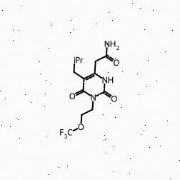 CC(C)Cc1c(CC(N)=O)[nH]c(=O)n(CCOC(F)(F)F)c1=O